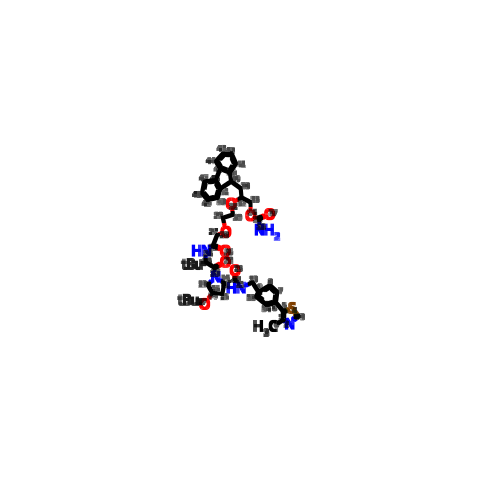 Cc1ncsc1-c1ccc(CNC(=O)[C@@H]2C[C@@H](OC(C)(C)C)CN2C(=O)[C@@H](NC(=O)COCCOC(COC(N)=O)CC2c3ccccc3-c3ccccc32)C(C)(C)C)cc1